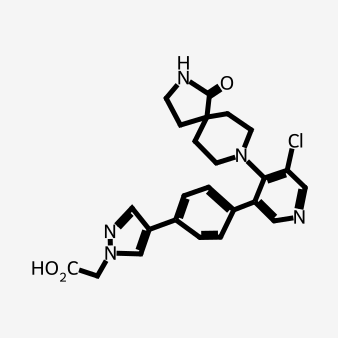 O=C(O)Cn1cc(-c2ccc(-c3cncc(Cl)c3N3CCC4(CCNC4=O)CC3)cc2)cn1